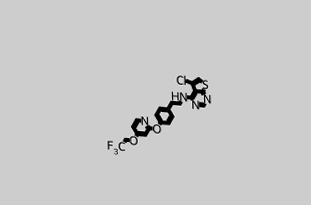 FC(F)(F)COc1ccnc(Oc2ccc(CCNc3ncnc4scc(Cl)c34)cc2)c1